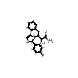 NC(=O)C(O)C(Cc1ccccc1)N1[C]=CSC1c1ccc(F)cc1